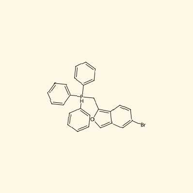 Brc1ccc2c(C[PH](c3ccccc3)(c3ccccc3)c3ccccc3)occ2c1